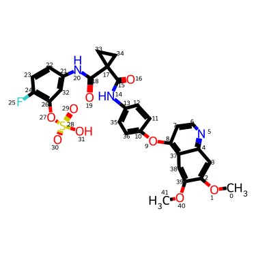 COc1cc2nccc(Oc3ccc(NC(=O)C4(C(=O)Nc5ccc(F)c(OS(=O)(=O)O)c5)CC4)cc3)c2cc1OC